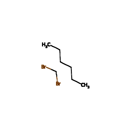 BrCBr.CCCCCC